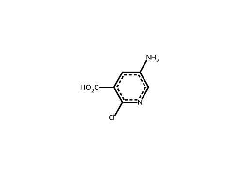 Nc1cnc(Cl)c(C(=O)O)c1